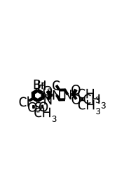 CC1CN(C(=O)OC(C)(C)C)CCN1c1nc2c(S(C)(=O)=O)c(Cl)cc(Br)c2o1